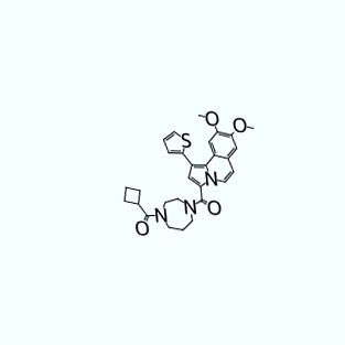 COc1cc2ccn3c(C(=O)N4CCCN(C(=O)C5CCC5)CC4)cc(-c4cccs4)c3c2cc1OC